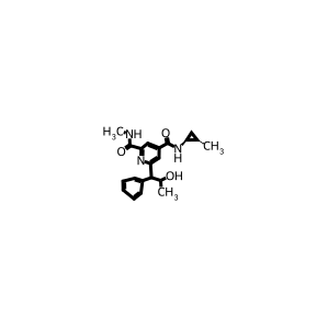 CNC(=O)c1cc(C(=O)N[C@H]2C[C@@H]2C)cc(C(c2ccccc2)C(C)O)n1